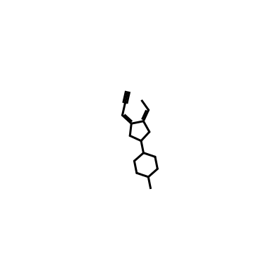 C#C/C=C1/CC(C2CCC(C)CC2)C/C1=C/C